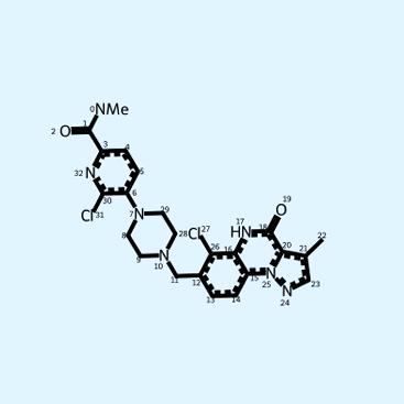 CNC(=O)c1ccc(N2CCN(Cc3ccc4c([nH]c(=O)c5c(C)cnn54)c3Cl)CC2)c(Cl)n1